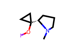 CN1CCC[C@H]1C1(OI)CC1